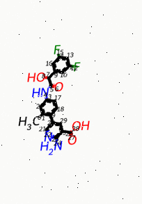 Cc1cc(NC(=O)C(O)c2cc(F)cc(F)c2)ccc1-c1cnc(N)c(C(=O)O)c1